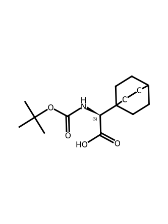 CC(C)(C)OC(=O)N[C@H](C(=O)O)C12CCC(CC1)CC2